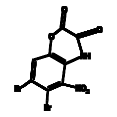 O=c1[nH]c2c([N+](=O)[O-])c(Br)c(Br)cc2oc1=O